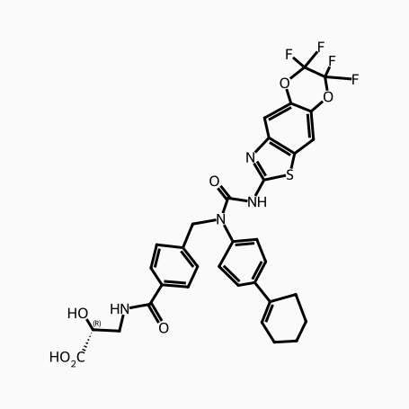 O=C(NC[C@@H](O)C(=O)O)c1ccc(CN(C(=O)Nc2nc3cc4c(cc3s2)OC(F)(F)C(F)(F)O4)c2ccc(C3=CCCCC3)cc2)cc1